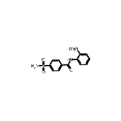 CNc1ccccc1NC(=O)c1ccc(S(N)(=O)=O)cc1